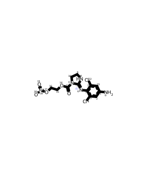 Nc1cc(Cl)c(/N=C2\NCCN2C(=O)OCCO[N+](=O)[O-])c(Cl)c1